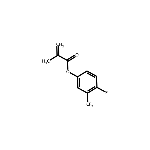 C=C(C)C(=O)Oc1ccc(F)c(C(F)(F)F)c1